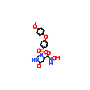 COc1ccc(Oc2ccc(S(=O)(=O)N3CNC(=O)C[C@@H]3C(=O)NO)cc2)cc1